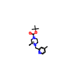 Cc1ccnc(CN2CCN(C(=O)OC(C)(C)C)C[C@@H]2C)c1